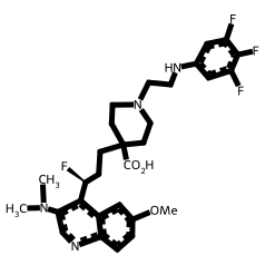 COc1ccc2ncc(N(C)C)c([C@@H](F)CCC3(C(=O)O)CCN(CCNc4cc(F)c(F)c(F)c4)CC3)c2c1